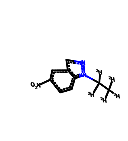 [2H]C([2H])([2H])C([2H])([2H])n1ncc2cc([N+](=O)[O-])ccc21